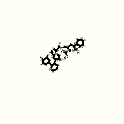 Cc1cc(-c2ncccc2-c2ccn3c(C(=O)OCC(Cc4c[nH]c5ccccc45)NC(=O)OC(C)(C)C)ncc3c2)ccc1F